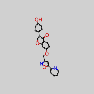 O=c1c(-c2ccc(O)cc2)coc2cc(OCc3cc(-c4ccccn4)on3)ccc12